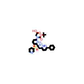 CC(C)(C)OC(=O)N(CC(=O)O)c1cccc(C(N)(Cc2ccc(-c3ccccc3)nn2)S(=O)(=O)c2cccnc2)n1